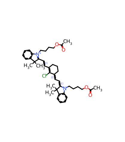 CC(=O)OCCCCN1/C(=C/C=C2\CCCC(/C=C/C3=[N+](CCCCOC(C)=O)c4ccccc4C3(C)C)=C2Cl)C(C)(C)c2ccccc21